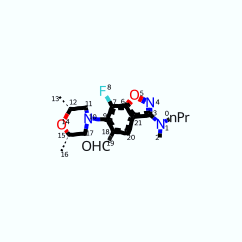 CCCN(C)c1noc2c(F)c(N3C[C@@H](C)O[C@@H](C)C3)c(C=O)cc12